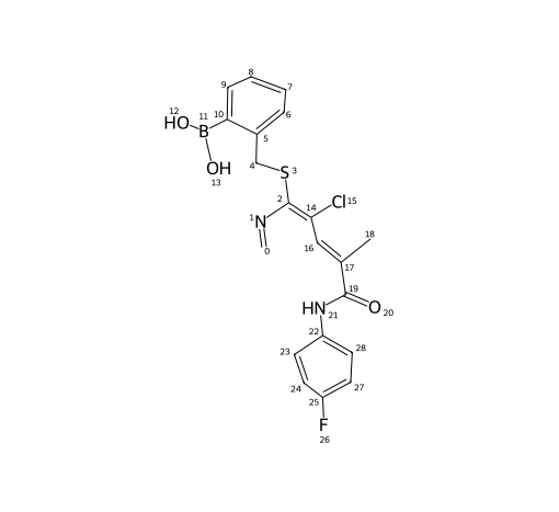 C=N/C(SCc1ccccc1B(O)O)=C(Cl)\C=C(/C)C(=O)Nc1ccc(F)cc1